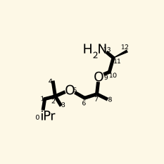 CC(C)CC(C)(C)OCC(C)OC[C@H](C)N